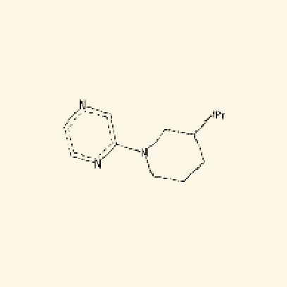 CC(C)C1CCCN(c2cnccn2)C1